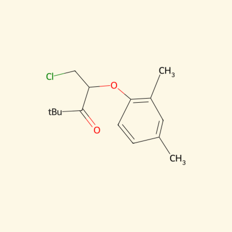 Cc1ccc(OC(CCl)C(=O)C(C)(C)C)c(C)c1